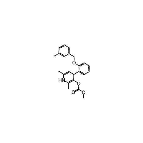 COC(=O)OC1=C(C)NC(C)=CC1c1ccccc1OCc1cccc(C)c1